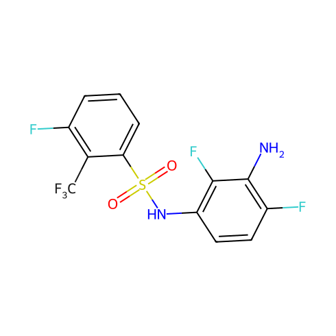 Nc1c(F)ccc(NS(=O)(=O)c2cccc(F)c2C(F)(F)F)c1F